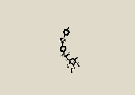 CCOC1C(OC)[C@H](OC(=O)Nc2ccc(-c3ncn(-c4ccc(C)cc4)n3)cc2)CC(C)[C@@H]1OC